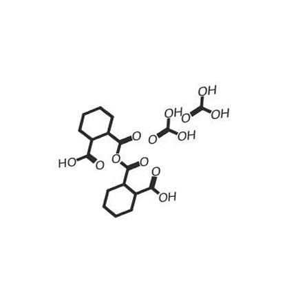 O=C(O)C1CCCCC1C(=O)OC(=O)C1CCCCC1C(=O)O.O=C(O)O.O=C(O)O